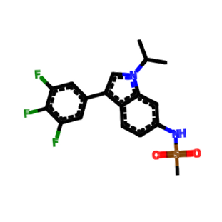 CC(C)n1cc(-c2cc(F)c(F)c(F)c2)c2ccc(NS(C)(=O)=O)cc21